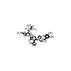 CC(C)(O/N=C(\C(=O)N[C@@H]1C(=O)N2C(c3nnn[nH]3)=C(C[N+]3(CCNC(=O)c4cc(O)c(O)cc4F)CCCC3)CS[C@H]12)c1csc(N)n1)C(=O)O